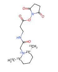 [13CH3][13C@@H]1CCC[13C@H]([13CH3])[15N]1CC(=O)NCCC(=O)ON1C(=O)CCC1=O